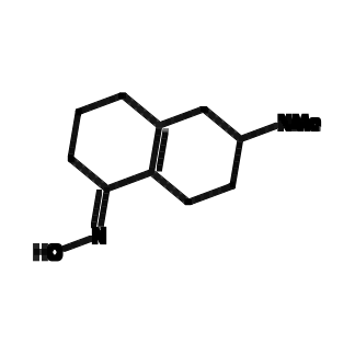 CNC1CCC2=C(CCCC2=NO)C1